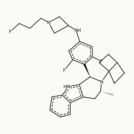 C[C@@H]1Cc2c([nH]c3ccccc23)[C@@H](c2c(F)cc(NC3CN(CCCF)C3)cc2F)N1C12CCC1CC2